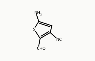 [C-]#[N+]c1cc(N)sc1C=O